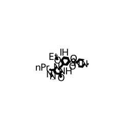 CCCc1nn(C)c2c(=O)[nH]c(-c3cc(S(=O)(=O)N4CCN(C)CC4)ccc3OCC)nc12.I